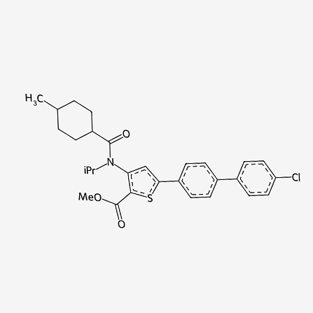 COC(=O)c1sc(-c2ccc(-c3ccc(Cl)cc3)cc2)cc1N(C(=O)C1CCC(C)CC1)C(C)C